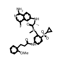 COc1ccccc1CCC(=O)Nc1ccc(S(=O)(=O)C2CC2)c(CN(C)C(=O)[C@@H](C)Nc2ccc3c(N)ncc(F)c3c2)c1